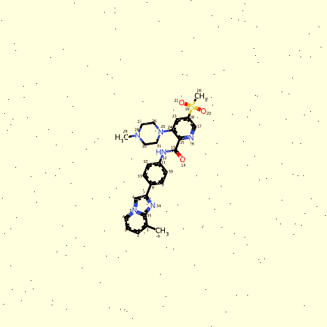 Cc1cccn2cc(-c3ccc(NC(=O)c4ncc(S(C)(=O)=O)cc4N4CCN(C)CC4)cc3)nc12